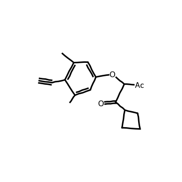 C#Cc1c(C)cc(OC(C(C)=O)C(=O)C2CCC2)cc1C